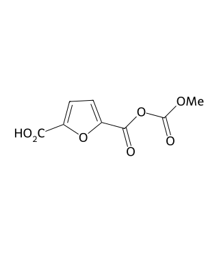 COC(=O)OC(=O)c1ccc(C(=O)O)o1